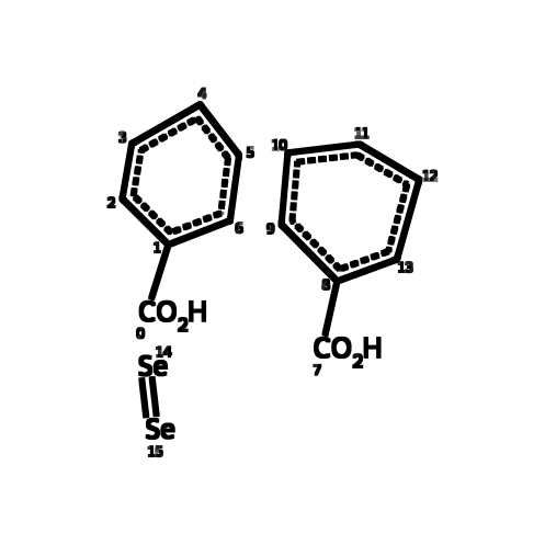 O=C(O)c1ccccc1.O=C(O)c1ccccc1.[Se]=[Se]